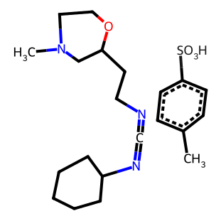 CN1CCOC(CCN=C=NC2CCCCC2)C1.Cc1ccc(S(=O)(=O)O)cc1